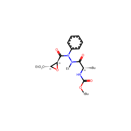 CCCC[C@H](NC(=O)OC(C)(C)C)C(=O)N(CC)N(C(=O)[C@H]1O[C@@H]1C(=O)OCC)c1ccccc1